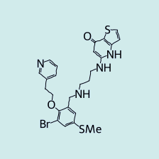 CSc1cc(Br)c(OCCc2cccnc2)c(CNCCCNc2cc(=O)c3sccc3[nH]2)c1